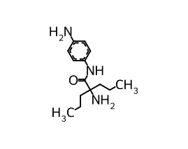 CCCC(N)(CCC)C(=O)Nc1ccc(N)cc1